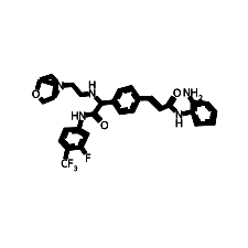 Nc1ccccc1NC(=O)C=Cc1ccc(C(NCCN2CC3CC2CO3)C(=O)Nc2ccc(C(F)(F)F)c(F)c2)cc1